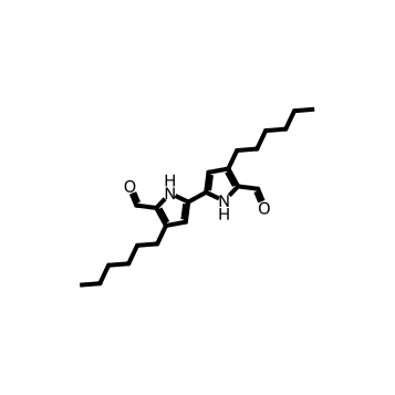 CCCCCCc1cc(-c2cc(CCCCCC)c(C=O)[nH]2)[nH]c1C=O